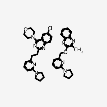 Cc1nc2ccccc2nc1OCc1cccc(N2CCCC2)n1.Clc1ccc2nc(CCc3cccc(N4CCCC4)n3)nc(N3CCOCC3)c2c1